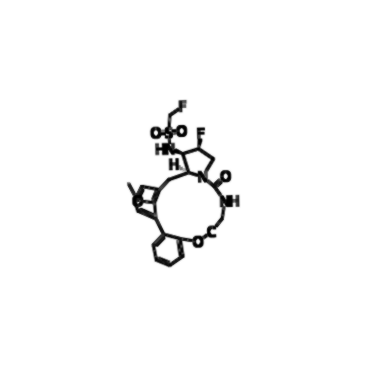 COc1c2cccc1-c1ccccc1OCCNC(=O)N1C[C@H](F)[C@H](NS(=O)(=O)CF)[C@@H]1C2